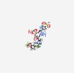 CS(=O)(=O)c1ccc([C@H](CO)NC(=O)c2cnc(C(F)(F)F)n2Cc2cccc3c2OC(F)(F)O3)nc1